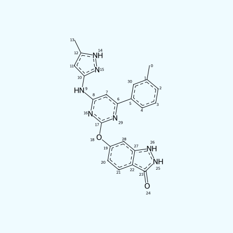 Cc1cccc(-c2cc(Nc3cc(C)[nH]n3)nc(Oc3ccc4c(=O)[nH][nH]c4c3)n2)c1